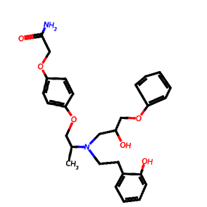 CC(COc1ccc(OCC(N)=O)cc1)N(CCc1ccccc1O)CC(O)COc1ccccc1